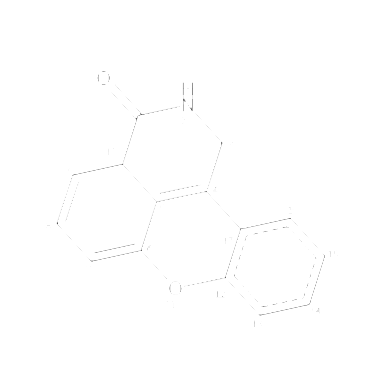 O=C1NCC2=C3C(=CC=CC13)Oc1ccccc12